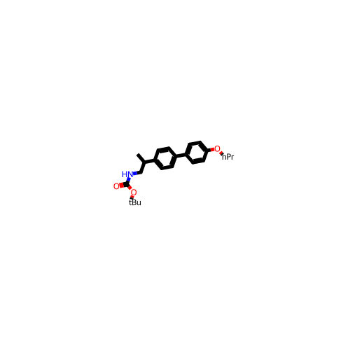 CCCOc1ccc(-c2ccc(C(C)CNC(=O)OC(C)(C)C)cc2)cc1